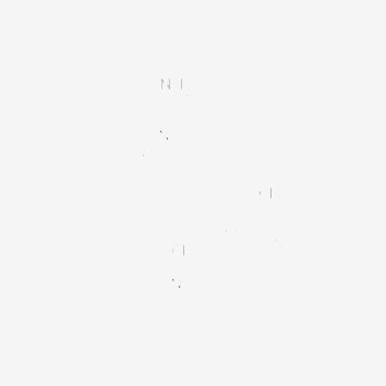 Cc1cc(C2(c3cccc(-c4cccnc4)c3)CCC(N)=N2)ccc1OC(C)C